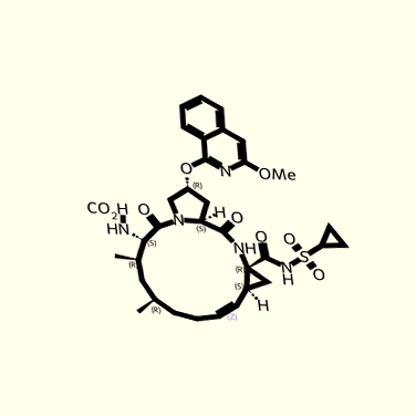 COc1cc2ccccc2c(O[C@@H]2C[C@H]3C(=O)N[C@]4(C(=O)NS(=O)(=O)C5CC5)C[C@H]4/C=C\CC[C@@H](C)C[C@@H](C)[C@H](NC(=O)O)C(=O)N3C2)n1